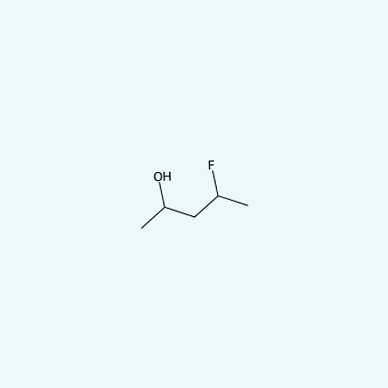 CC(O)CC(C)F